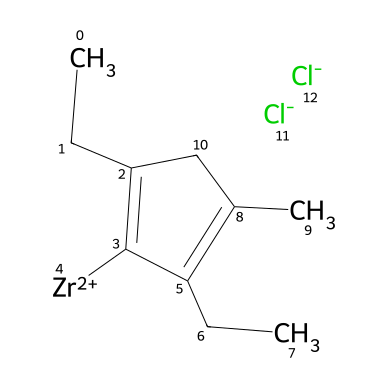 CCC1=[C]([Zr+2])C(CC)=C(C)C1.[Cl-].[Cl-]